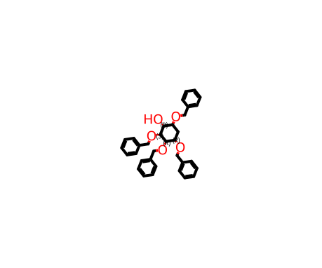 O[C@@H]1C(OCc2ccccc2)C[C@@H](OCc2ccccc2)[C@@H](OCc2ccccc2)[C@H]1OCc1ccccc1